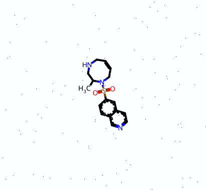 CC1CNCC=CCN1S(=O)(=O)c1ccc2cnccc2c1